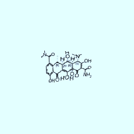 C[C@H]1c2c(C(=O)N(C)C)ccc(O)c2C(=O)C2=C(O)[C@]3(O)C(=O)C(C(N)=O)=C(O)[C@@H](N(C)C)[C@@H]3[C@@H](O)[C@@H]21